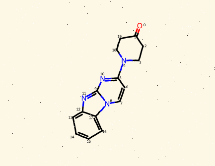 O=C1CCN(c2ccn3c(n2)nc2ccccc23)CC1